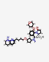 CN([C@H]1CC[C@H](OCCCCc2ccc3c(n2)NCCC3)C1)[C@@H](C(=O)O)c1cccc(OC2CCOCC2)c1N1CCCC1=O